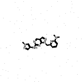 CN(C)c1cccc(Cn2ncc3cnc(Nc4cnn(C)c4)nc32)n1